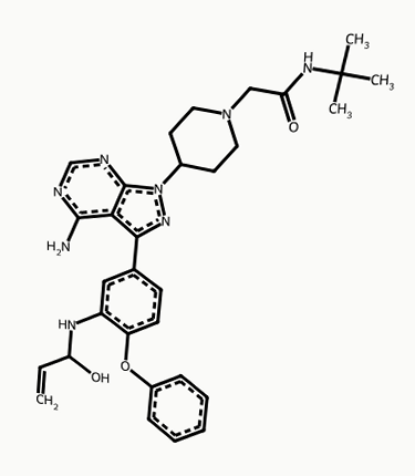 C=CC(O)Nc1cc(-c2nn(C3CCN(CC(=O)NC(C)(C)C)CC3)c3ncnc(N)c23)ccc1Oc1ccccc1